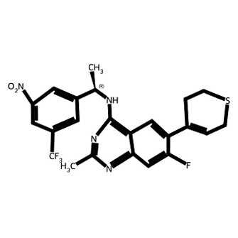 Cc1nc(N[C@H](C)c2cc([N+](=O)[O-])cc(C(F)(F)F)c2)c2cc(C3=CCSCC3)c(F)cc2n1